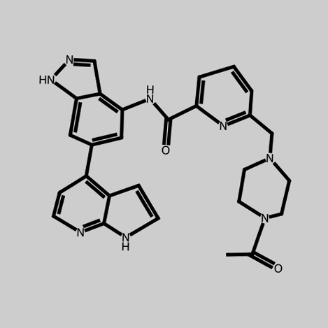 CC(=O)N1CCN(Cc2cccc(C(=O)Nc3cc(-c4ccnc5[nH]ccc45)cc4[nH]ncc34)n2)CC1